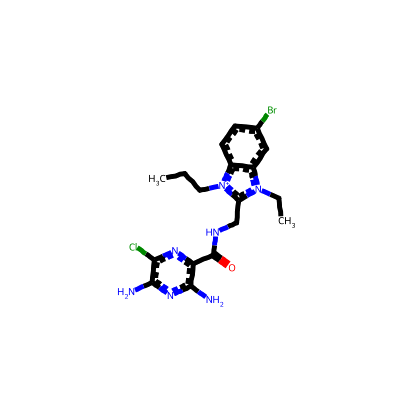 CCC[n+]1c(CNC(=O)c2nc(Cl)c(N)nc2N)n(CC)c2cc(Br)ccc21